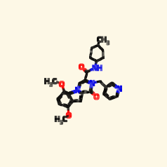 COc1ccc(OC)c2c1cc1c(=O)n(Cc3cccnc3)c(C(=O)NC3CCC(C)CC3)cn12